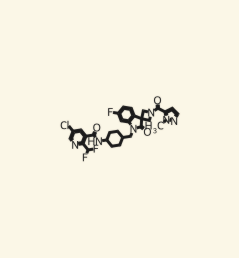 Cn1nccc1C(=O)N1CC2(C1)C(=O)N(CC1CCC(NC(=O)c3cc(Cl)cnc3C(F)F)CC1)c1cc(F)ccc12